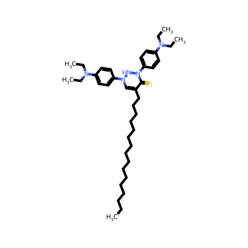 CCCCCCCCCCCCCCCCC1=CN(c2ccc(N(CC)CC)cc2)NN(c2ccc(N(CC)CC)cc2)C1=S